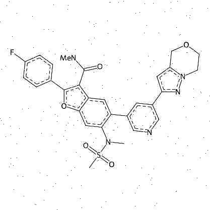 CNC(=O)c1c(-c2ccc(F)cc2)oc2cc(N(C)S(C)(=O)=O)c(-c3cncc(-c4cc5n(n4)CCOC5)c3)cc12